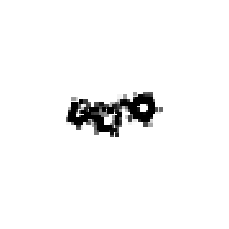 C1=NC=C(C2CCCO2)NN1Cc1ccccc1